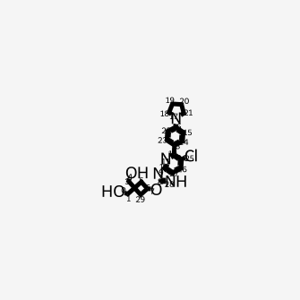 OCC1(CO)CC(Oc2nc3nc(-c4ccc(N5CCCC5)cc4)c(Cl)cc3[nH]2)C1